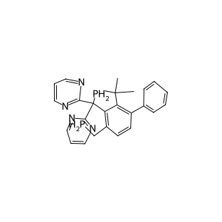 CC(C)(C)c1c(-c2ccccc2)ccc(CP)c1C(P)(c1ncccn1)c1ncccn1